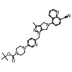 Cc1nn(Cc2ccc(N3CCN(C(=O)OC(C)(C)C)CC3)cn2)c2c1CN(c1ccc(C#N)c3ncccc13)C2